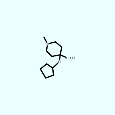 CN1CCC(OC2CCCC2)(C(=O)O)CC1